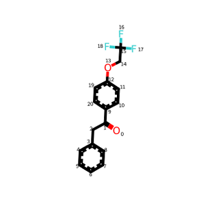 O=C(Cc1ccccc1)c1ccc(OCC(F)(F)F)cc1